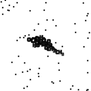 CCCCCOCC(=O)[C@@]1(OCOC)CC[C@H]2[C@@H]3CCC4=CC(=O)CC[C@]4(C)[C@@]3(F)C(O)C[C@@]21C